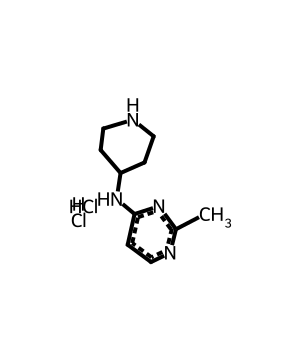 Cc1nccc(NC2CCNCC2)n1.Cl.Cl